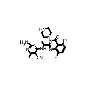 Cc1nc(N)nc(NC(C)c2nc3c(F)ccc(Cl)c3c(=O)n2N2CCNCC2)c1C#N